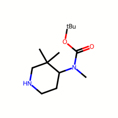 CN(C(=O)OC(C)(C)C)C1CCNCC1(C)C